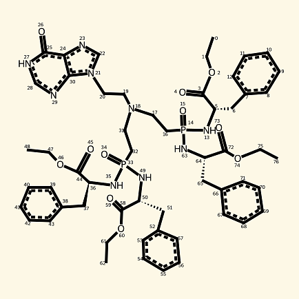 CCOC(=O)[C@H](Cc1ccccc1)NP(=O)(CCN(CCn1cnc2c(=O)[nH]cnc21)CCP(=O)(N[C@@H](Cc1ccccc1)C(=O)OCC)N[C@H](Cc1ccccc1)C(=O)OCC)N[C@@H](Cc1ccccc1)C(=O)OCC